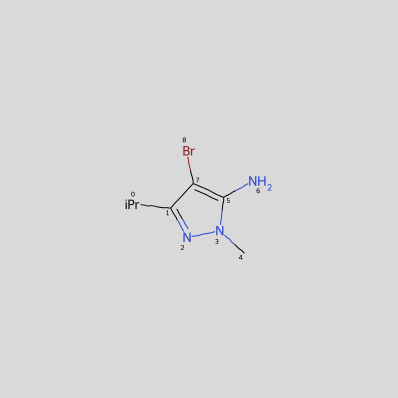 CC(C)c1nn(C)c(N)c1Br